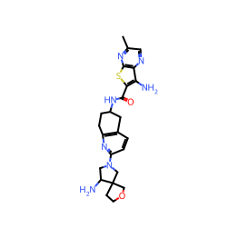 Cc1cnc2c(N)c(C(=O)NC3CCc4nc(N5CC(N)C6(CCOC6)C5)ccc4C3)sc2n1